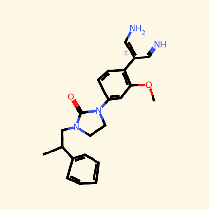 COc1cc(N2CCN(CC(C)c3ccccc3)C2=O)ccc1/C(C=N)=C/N